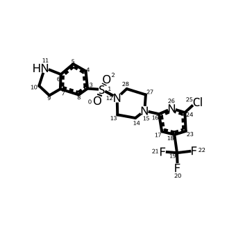 O=S(=O)(c1ccc2c(c1)CCN2)N1CCN(c2cc(C(F)(F)F)cc(Cl)n2)CC1